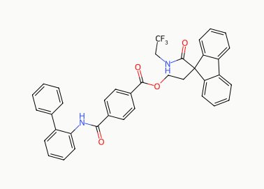 O=C(Nc1ccccc1-c1ccccc1)c1ccc(C(=O)OCCC2(C(=O)NCC(F)(F)F)c3ccccc3-c3ccccc32)cc1